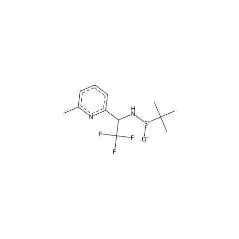 Cc1cccc(C(N[S+]([O-])C(C)(C)C)C(F)(F)F)n1